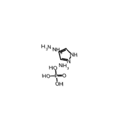 N.N.N.O=P(O)(O)O.c1cn[nH]c1